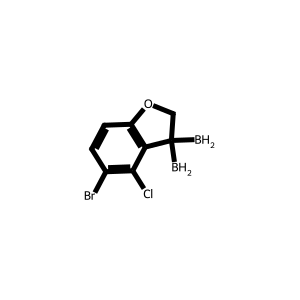 BC1(B)COc2ccc(Br)c(Cl)c21